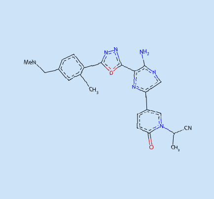 CNCc1ccc(-c2nnc(-c3nc(-c4ccc(=O)n(C(C)C#N)c4)cnc3N)o2)c(C)c1